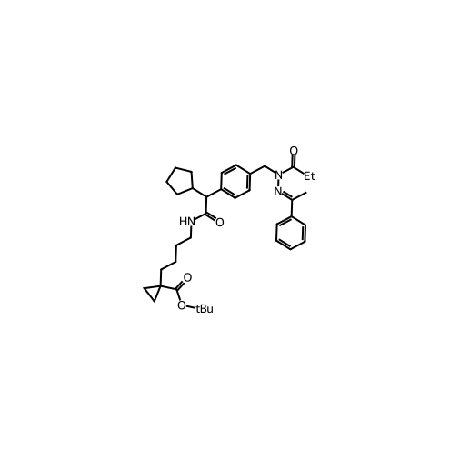 CCC(=O)N(Cc1ccc(C(C(=O)NCCCCC2(C(=O)OC(C)(C)C)CC2)C2CCCC2)cc1)/N=C(\C)c1ccccc1